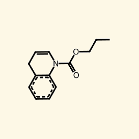 CCCOC(=O)N1C=CCc2ccccc21